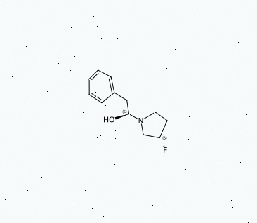 O[C@@H](Cc1ccccc1)N1CC[C@H](F)C1